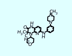 CN1CCN(c2cccc(Nc3ccc4c(n3)N(C3CCOCC3)C(C)(C)C(=O)N4)c2)CC1